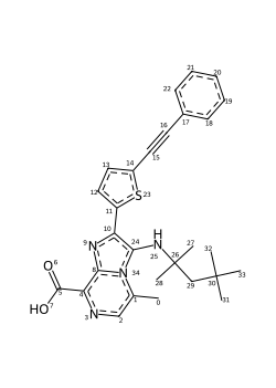 Cc1cnc(C(=O)O)c2nc(-c3ccc(C#Cc4ccccc4)s3)c(NC(C)(C)CC(C)(C)C)n12